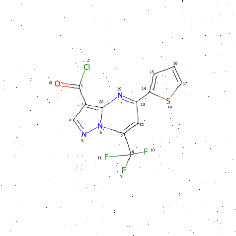 O=C(Cl)c1cnn2c(C(F)(F)F)cc(-c3cccs3)nc12